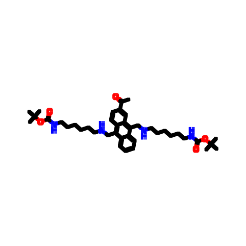 CC(=O)c1ccc2c(CNCCCCCCNC(=O)OC(C)(C)C)c3ccccc3c(CNCCCCCCNC(=O)OC(C)(C)C)c2c1